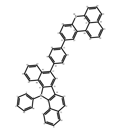 c1ccc(-n2c3c4ccccc4ccc3c3cc(-c4ccc(-c5ccc6c(c5)-c5cccc7cccc(c57)S6)cc4)c4ccccc4c32)cc1